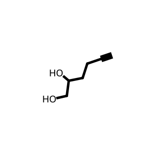 C#CCCC(O)CO